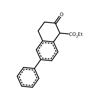 CCOC(=O)C1C(=O)CCc2cc(-c3ccccc3)ccc21